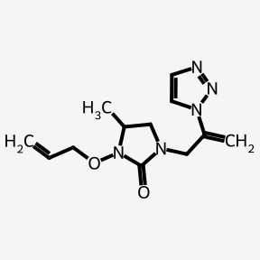 C=CCON1C(=O)N(CC(=C)n2ccnn2)CC1C